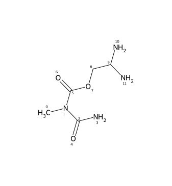 CN(C(N)=O)C(=O)OCC(N)N